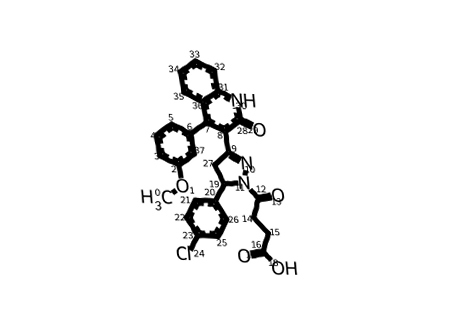 COc1cccc(-c2c(C3=NN(C(=O)CCC(=O)O)C(c4ccc(Cl)cc4)C3)c(=O)[nH]c3ccccc23)c1